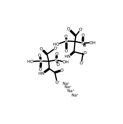 N=C(C(=O)[O-])C(C(=O)[O-])(S(=O)(=O)O)S(=O)(=O)O.N=C(C(=O)[O-])C(C(=O)[O-])(S(=O)(=O)O)S(=O)(=O)O.[Na+].[Na+].[Na+].[Na+]